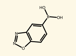 OB(O)c1ccc2onnc2c1